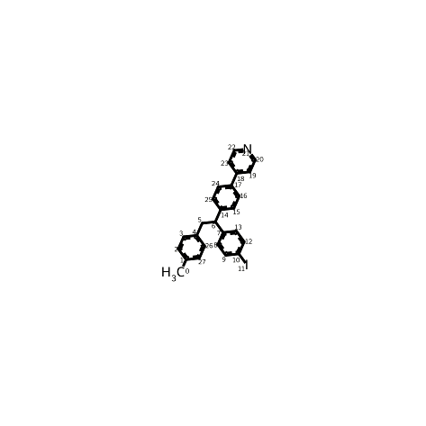 Cc1ccc(CC(c2ccc(I)cc2)c2ccc(-c3ccncc3)cc2)cc1